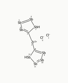 [Cl-].[Cl-].[Zr+2]([C]1=[Sb][Sb]=[Sb][SbH]1)[C]1=[Sb][Sb]=[Sb][SbH]1